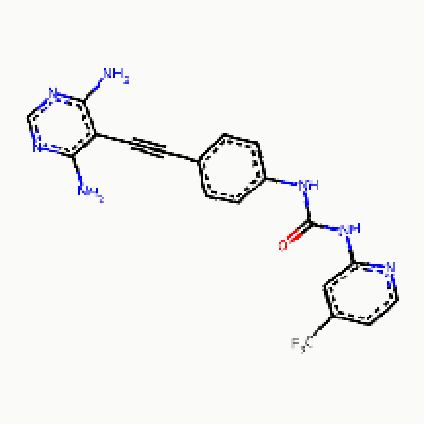 Nc1ncnc(N)c1C#Cc1ccc(NC(=O)Nc2cc(C(F)(F)F)ccn2)cc1